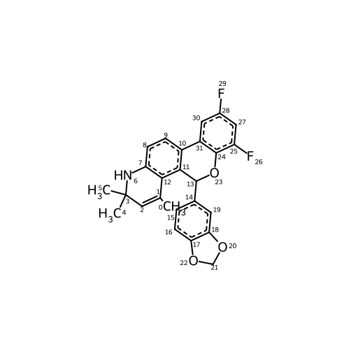 CC1=CC(C)(C)Nc2ccc3c(c21)C(c1ccc2c(c1)OCO2)Oc1c(F)cc(F)cc1-3